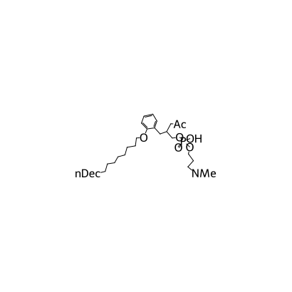 CCCCCCCCCCCCCCCCCCOc1ccccc1CC(COP(=O)(O)OCCCNC)CC(C)=O